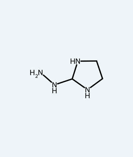 NNC1NCCN1